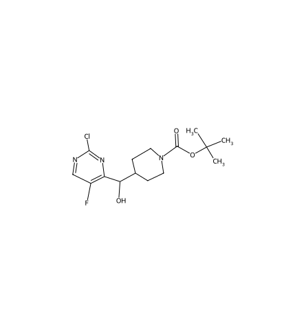 CC(C)(C)OC(=O)N1CCC(C(O)c2nc(Cl)ncc2F)CC1